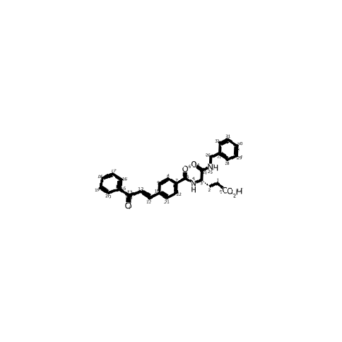 O=C(O)CC[C@H](NC(=O)c1ccc(/C=C/C(=O)c2ccccc2)cc1)C(=O)NCc1ccccc1